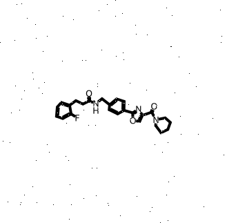 O=C(CCc1ccccc1F)NCc1ccc(-c2nc(C(=O)N3CCCCC3)co2)cc1